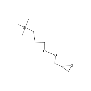 C[Si](C)(C)CCCOOCC1CO1